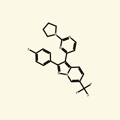 Fc1ccc(-c2nn3cc(C(F)(F)F)ccc3c2-c2ccnc(N3CCCC3)n2)cc1